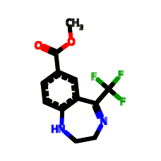 COC(=O)c1ccc2c(c1)C(C(F)(F)F)=NCCN2